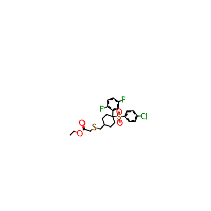 CCOC(=O)CSCC1CCC(c2cc(F)ccc2F)(S(=O)(=O)c2ccc(Cl)cc2)CC1